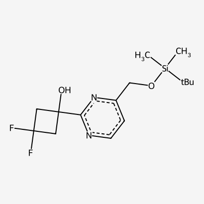 CC(C)(C)[Si](C)(C)OCc1ccnc(C2(O)CC(F)(F)C2)n1